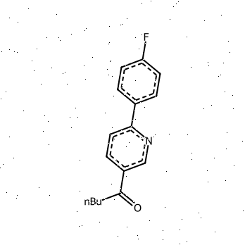 CCCCC(=O)c1ccc(-c2ccc(F)cc2)nc1